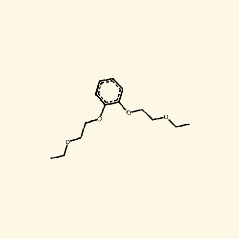 CCOCCOc1ccccc1OCCOCC